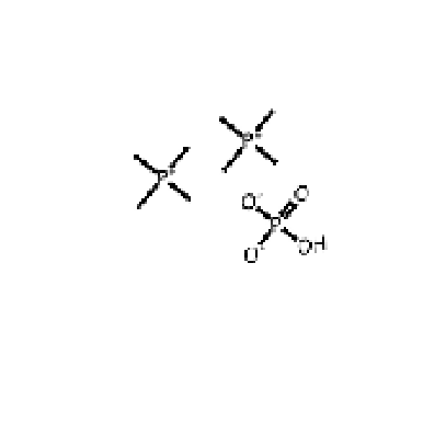 C[P+](C)(C)C.C[P+](C)(C)C.O=P([O-])([O-])O